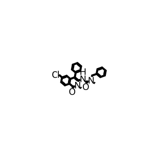 CN(Cc1ccccc1)C(=O)Nc1c(-c2ccccc2)c2cc(Cl)ccc2c(=O)n1C